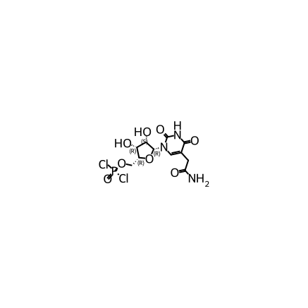 NC(=O)Cc1cn([C@@H]2O[C@H](COP(=O)(Cl)Cl)[C@H](O)[C@@H]2O)c(=O)[nH]c1=O